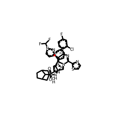 O=S(=O)(NC1CC2=C(c3ccn(C(F)F)n3)[C@H](c3ccc(F)cc3Cl)N=C(c3nccs3)N2C1)C1C2CCC1CC(O)(c1cn(-c3ccccn3)nn1)C2